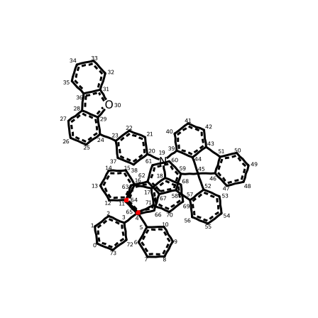 c1ccc(C2(c3ccccc3)c3ccccc3-c3c(N(c4ccc(-c5cccc6c5oc5ccccc56)cc4)c4cccc5c4C4(c6ccccc6-5)c5ccccc5-c5c4ccc4ccccc54)cccc32)cc1